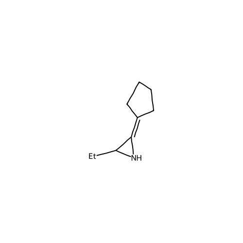 CCC1NC1=C1CCCC1